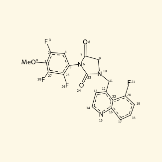 COc1c(F)cc(N2C(=O)CN(Cc3ccnc4cccc(F)c34)C2=O)c(F)c1F